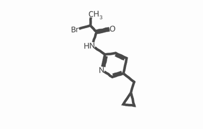 CC(Br)C(=O)Nc1ccc(CC2CC2)cn1